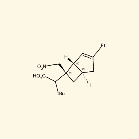 CCC1=C[C@@H]2[C@@H](C1)C[C@]2(C[N+](=O)[O-])C(C(=O)O)C(C)(C)C